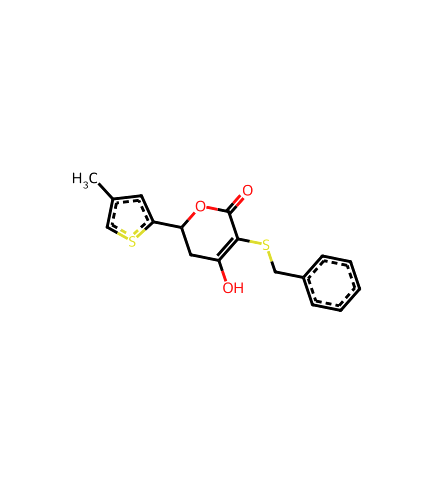 Cc1csc(C2CC(O)=C(SCc3ccccc3)C(=O)O2)c1